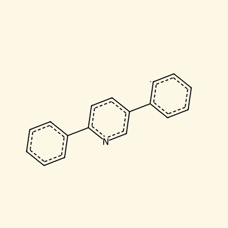 [c]1ccccc1-c1ccc(-c2ccccc2)nc1